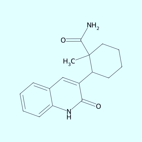 CC1(C(N)=O)CCCCC1c1cc2ccccc2[nH]c1=O